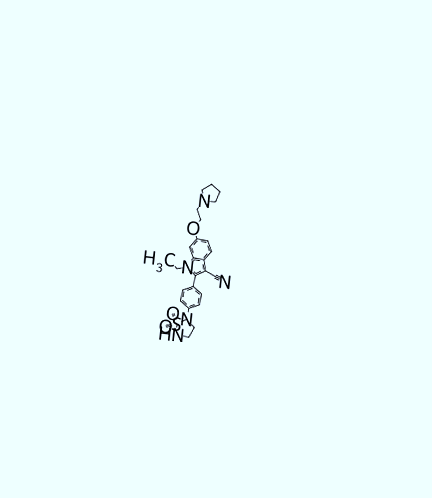 CCn1c(-c2ccc(N3CCNS3(=O)=O)cc2)c(C#N)c2ccc(OCCN3CCCC3)cc21